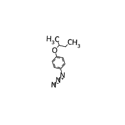 CCC(C)Oc1ccc(N=[N+]=[N-])cc1